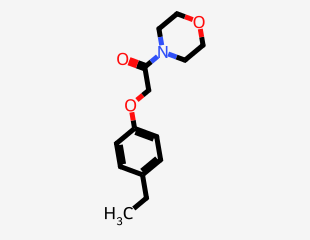 CCc1ccc(OCC(=O)N2CCOCC2)cc1